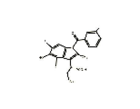 CCC(C)C[C@@H](C(=O)O)c1c(C)n(C(=O)c2cccc(F)c2)c2cc(F)c(O)c(F)c12